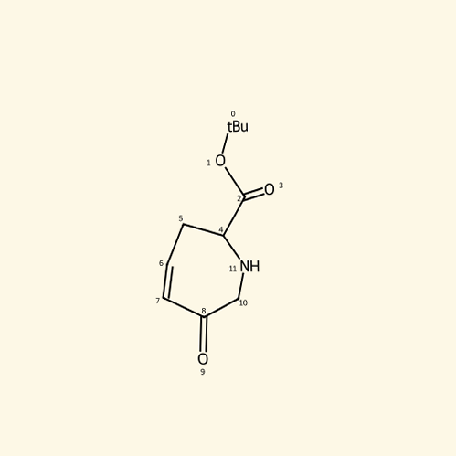 CC(C)(C)OC(=O)C1CC=CC(=O)CN1